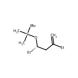 C=C(CC)C[C@H](CC)O[Si](C)(C)C(C)(C)C